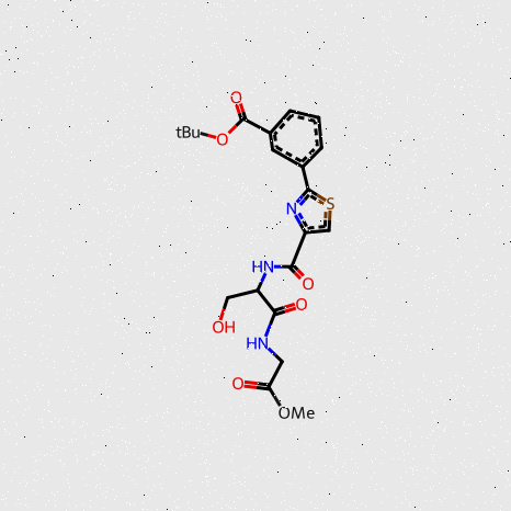 COC(=O)CNC(=O)C(CO)NC(=O)c1csc(-c2cccc(C(=O)OC(C)(C)C)c2)n1